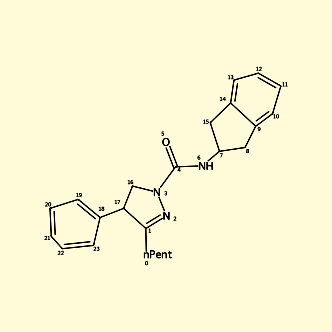 CCCCCC1=NN(C(=O)NC2Cc3ccccc3C2)CC1c1ccccc1